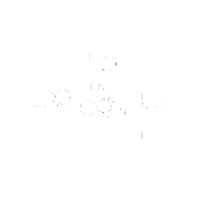 CCCN(CCNC=O)c1nc(NCc2cccc(Cl)c2)c2cc(-c3ccc(=O)n(C)c3)ccc2n1